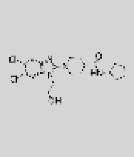 O=C(NC1CCCC1)C1CCN(c2nc3cc(Cl)c(Cl)cc3n2CCO)CC1